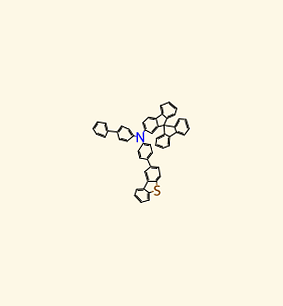 c1ccc(-c2ccc(N(c3ccc(-c4ccc5sc6ccccc6c5c4)cc3)c3ccc4c(c3)C3(c5ccccc5-c5ccccc53)c3ccccc3-4)cc2)cc1